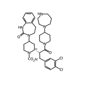 O=C(C(Cc1ccc(Cl)c(Cl)c1)[C@H]1CC(N2CCc3ccccc3NC2=O)CCN1C(=O)O)N1CCC(N2CCCNCC2)CC1